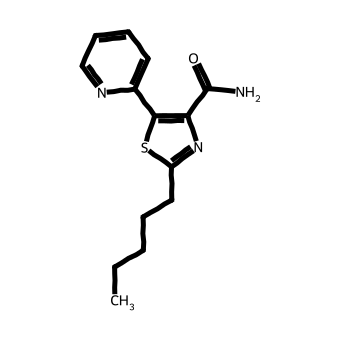 CCCCCc1nc(C(N)=O)c(-c2ccccn2)s1